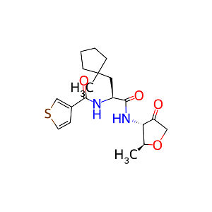 C[C@@H]1OCC(=O)[C@H]1NC(=O)[C@H](CC1(C)CCCC1)NC(=O)c1ccsc1